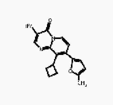 Cc1ccc(-c2ccn3c(=O)c(C(C)C)cnc3c2C2CCC2)o1